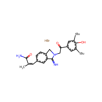 Br.CC(=Cc1ccc2c(c1)C(=N)N(CC(=O)c1cc(C(C)(C)C)c(O)c(C(C)(C)C)c1)C2)C(N)=O